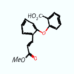 COC(=O)/C=C/c1ccccc1Oc1ccccc1C(=O)O